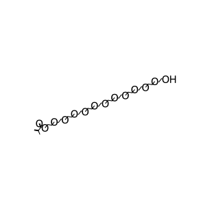 C=C(C)C(=O)OCCOCCOCCOCCOCCOCCOCCOCCOCCOCCOCCOCCO